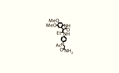 CC/C(Nc1ccc(N(CC(N)=O)C(C)=O)cc1)=C1/C(=O)Nc2cc(OC)c(OC)cc21